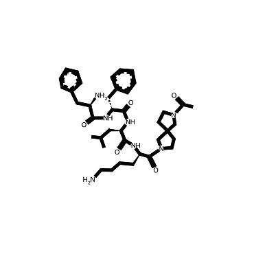 CC(=O)N1CCC2(CCN(C(=O)[C@@H](CCCCN)NC(=O)[C@@H](CC(C)C)NC(=O)[C@@H](Cc3ccccc3)NC(=O)[C@H](N)Cc3ccccc3)C2)C1